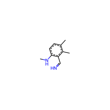 CNc1ccc(C)c(C)c1C=N